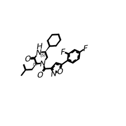 CC(C)C[C@H]1C(=O)N[C@@H](C2CCCCC2)CN1C(=O)c1cc(-c2ccc(F)cc2F)on1